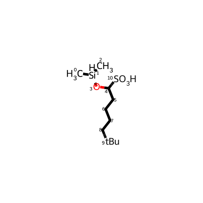 C[SiH](C)OC(CCCCC(C)(C)C)S(=O)(=O)O